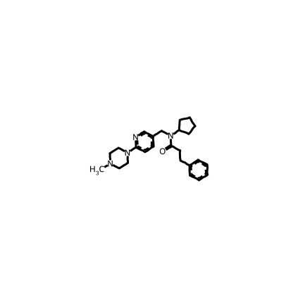 CN1CCN(c2ccc(CN(C(=O)CCc3ccccc3)C3CCCC3)cn2)CC1